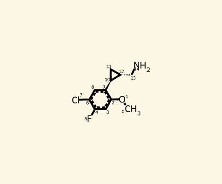 COc1cc(F)c(Cl)cc1[C@H]1C[C@@H]1CN